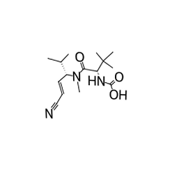 CC(C)[C@@H](C=CC#N)N(C)C(=O)[C@@H](NC(=O)O)C(C)(C)C